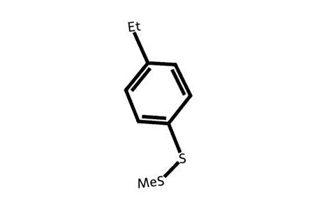 CCc1ccc(SSC)cc1